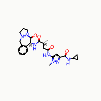 C[C@H](CC(=O)Nc1cc(C(=O)NC2CC2)nn1C)C(=O)N[C@@H]1C(=O)N2CCCN2Cc2ccccc21